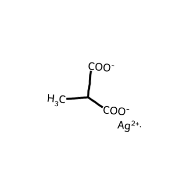 CC(C(=O)[O-])C(=O)[O-].[Ag+2]